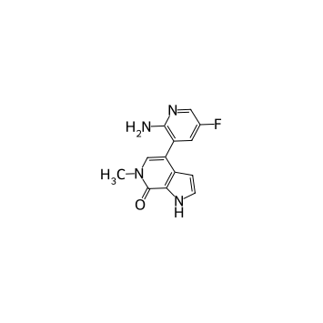 Cn1cc(-c2cc(F)cnc2N)c2cc[nH]c2c1=O